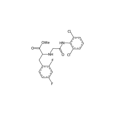 COC(=O)C(Cc1ccc(F)cc1F)NCC(=O)Nc1c(Cl)cccc1Cl